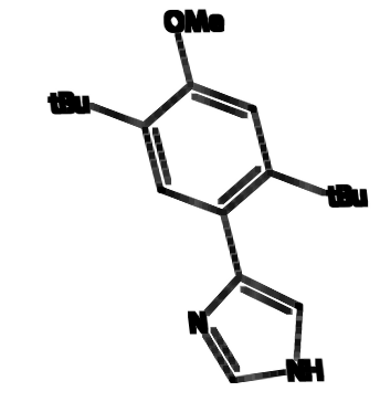 COc1cc(C(C)(C)C)c(-c2c[nH]cn2)cc1C(C)(C)C